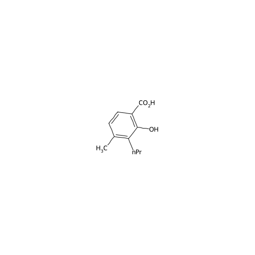 CCCc1c(C)ccc(C(=O)O)c1O